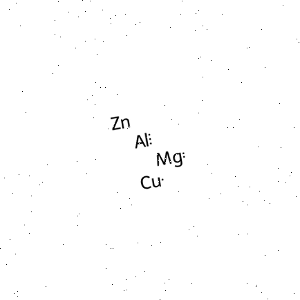 [Al].[Cu].[Mg].[Zn]